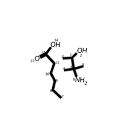 CC(O)C(C)(C)N.CCCCCC(=O)O